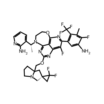 Cc1c(F)c(N)cc(-c2nc3c4c(nc(OCC56CCCN5C[C@@]5(C6)CC5(F)F)nc4c2F)N([C@H](C)c2cccnc2N)CCO3)c1C(F)(F)F